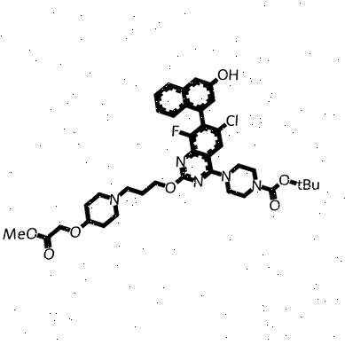 COC(=O)COC1CCN(CCCOc2nc(N3CCN(C(=O)OC(C)(C)C)CC3)c3cc(Cl)c(-c4cc(O)cc5ccccc45)c(F)c3n2)CC1